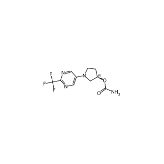 NC(=O)O[C@@H]1CCN(c2cnc(C(F)(F)F)nc2)C1